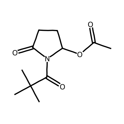 CC(=O)OC1CCC(=O)N1C(=O)C(C)(C)C